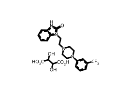 O=C(O)C(O)C(O)C(=O)O.O=c1[nH]c2ccccc2n1CCN1CCN(c2cccc(C(F)(F)F)c2)CC1